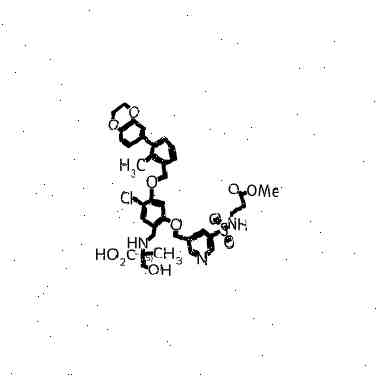 COC(=O)CCNS(=O)(=O)c1cncc(COc2cc(OCc3cccc(-c4ccc5c(c4)OCCO5)c3C)c(Cl)cc2CN[C@@](C)(CO)C(=O)O)c1